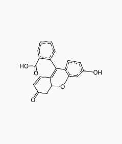 O=C1C=CC2=C(c3ccccc3C(=O)O)c3ccc(O)cc3OC2C1